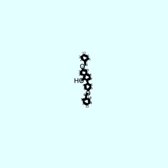 Oc1c(-c2ccc(OCc3ccccc3)cc2)ccc2cc(OCc3ccccc3)ccc12